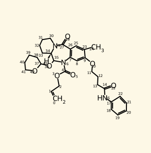 C=CCOC(=O)N1c2cc(OCCCC(=O)Nc3ccccc3)c(C)cc2C(=O)N2CCCC[C@H]2C1OC1CCCCO1